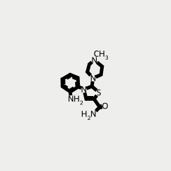 CN1CCN(C2SC(C(N)=O)=CN2c2ccccc2N)CC1